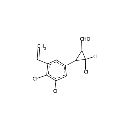 C=Cc1cc(C2C(C=O)C2(Cl)Cl)cc(Cl)c1Cl